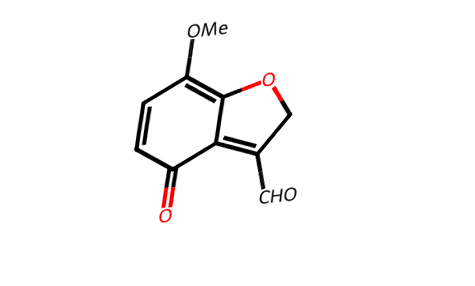 COC1=C2OCC(C=O)=C2C(=O)C=C1